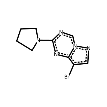 Brc1cnn2cnc(N3CCCC3)nc12